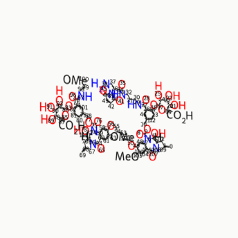 C=C1C[C@H]2C(O)N(C(=O)OCc3ccc(O[C@@H]4O[C@H](C(=O)O)[C@@H](O)[C@H](O)[C@H]4O)c(C(=O)NCCCNC(=O)C(CN)N4C(=O)C=CC4=O)c3)c3cc(OCCCCCOc4cc5c(cc4OC)C(=O)N4CC(=C)C[C@H]4C(O)N5C(=O)OCc4ccc(O[C@@H]5O[C@H](C(=O)O)[C@@H](O)[C@H](O)[C@H]5O)c(C(=O)NCCOC)c4)c(OC)cc3C(=O)N2C1